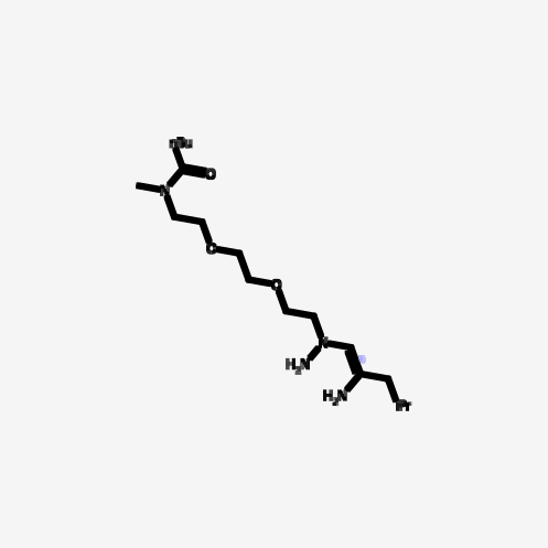 CCCCC(=O)N(C)CCOCCOCCN(N)/C=C(\N)CC(C)C